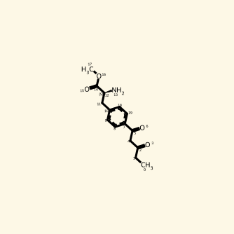 CCC(=O)CC(=O)c1ccc(C[C@H](N)C(=O)OC)cc1